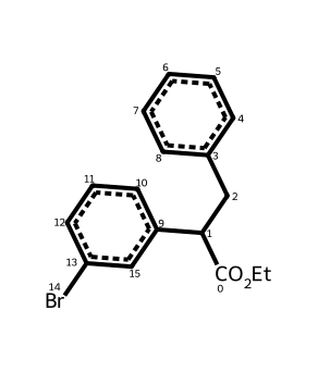 CCOC(=O)C(Cc1ccccc1)c1cccc(Br)c1